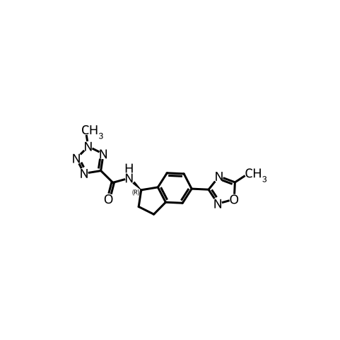 Cc1nc(-c2ccc3c(c2)CC[C@H]3NC(=O)c2nnn(C)n2)no1